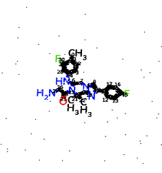 Cc1ccc(NC2Cn3cc(-c4ccc(F)cc4)nc3C(C)(C)N2C(=O)CN)cc1F